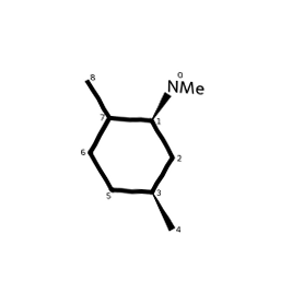 CN[C@H]1C[C@@H](C)CCC1C